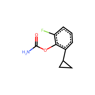 NC(=O)Oc1c(F)cccc1C1CC1